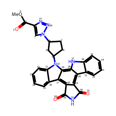 COC(=O)c1cn(C2CCC(n3c4ccccc4c4c5c(c6c7ccccc7[nH]c6c43)C(=O)NC5=O)C2)nn1